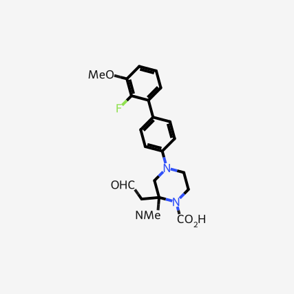 CNC1(CC=O)CN(c2ccc(-c3cccc(OC)c3F)cc2)CCN1C(=O)O